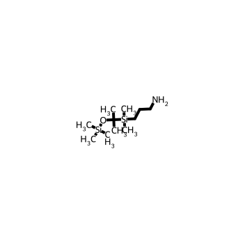 CC(C)(O[Si](C)(C)C)[Si](C)(C)CCCN